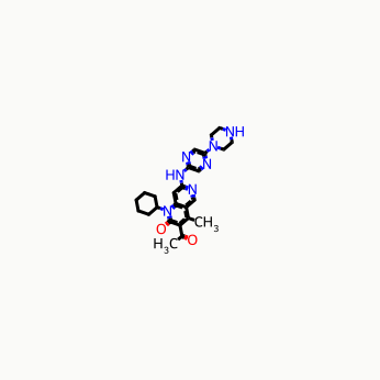 CC(=O)c1c(C)c2cnc(Nc3cnc(N4CCNCC4)cn3)cc2n(C2CCCCC2)c1=O